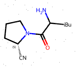 CCC(C)C(N)C(=O)N1CCC[C@H]1C#N